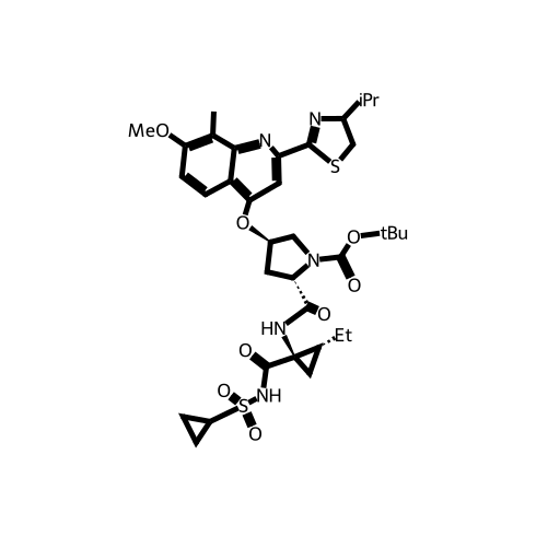 CC[C@@H]1C[C@]1(NC(=O)[C@@H]1C[C@@H](Oc2cc(C3=NC(C(C)C)CS3)nc3c(C)c(OC)ccc23)CN1C(=O)OC(C)(C)C)C(=O)NS(=O)(=O)C1CC1